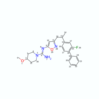 COC1CCN(C(N)=Nc2cc(CC(C)c3ccc(-c4ccccc4)c(F)c3)no2)CC1